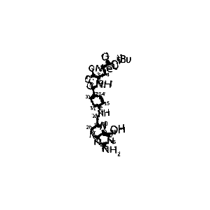 COC(=O)C(CCC(=O)OC(C)(C)C)NC(=O)c1ccc(NCc2cnc3nc(N)nc(O)c3n2)cc1